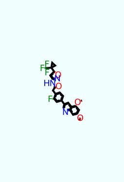 COc1cc(OC)c2cc(-c3ccc(CC(=O)Nc4cc(C5(C(F)(F)F)CC5)on4)c(F)c3)cnc2c1